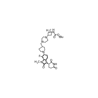 Cn1c(=O)n([C@@H]2CCC(=O)NC2=O)c2ccc(N3CCC(CN4CCN(C5CC(C)(NC(=O)OC(C)(C)C)C5)CC4)CC3)c(F)c21